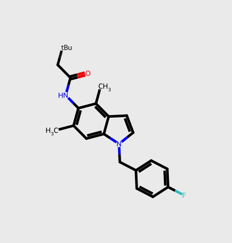 Cc1cc2c(ccn2Cc2ccc(F)cc2)c(C)c1NC(=O)CC(C)(C)C